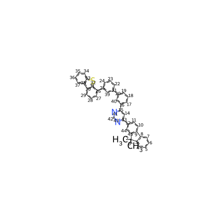 CC1(C)c2ccccc2-c2ccc(-c3cc(-c4cccc(-c5cccc(-c6cccc7c6sc6ccccc67)c5)c4)ncn3)cc21